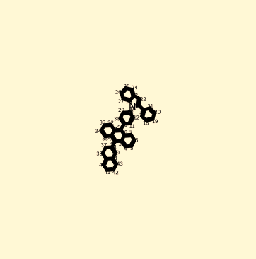 C1=C(c2c3ccccc3c(-c3ccc(-n4c(-c5ccccc5)cc5ccccc54)cc3)c3ccccc23)CCc2ccccc21